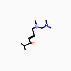 CC(C)C(=O)/C=C/CN(C)CN(C)C